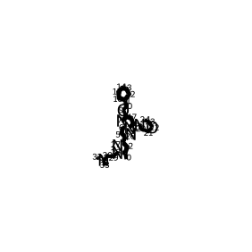 Cc1cc(-c2cc3nc(OCc4ccccc4)cc(N4CCOCC4)n3n2)nn1CCN(C)C